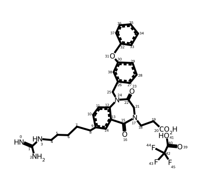 N=C(N)NCCCCCc1ccc2c(c1)C(=O)N(CCC(=O)O)CC(=O)N2Cc1cccc(Oc2ccccc2)c1.O=C(O)C(F)(F)F